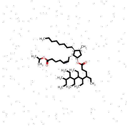 CCCCCCCC[C@@H]1[C@@H](C/C=C\CCCC(=O)OC(C)C)[C@@H](OC(=O)CCC(CC)C(CC)C(CC)C(CC)C(CC)C(C)CC)C[C@H]1C